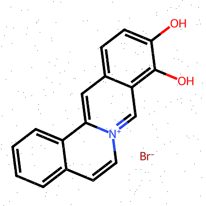 Oc1ccc2cc3c4ccccc4cc[n+]3cc2c1O.[Br-]